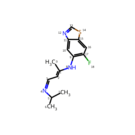 C/C(=C\C=N/C(C)C)Nc1cc2ncsc2cc1F